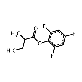 CCC(C)C(=O)Oc1c(F)cc(F)cc1F